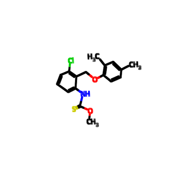 COC(=S)Nc1cccc(Cl)c1COc1ccc(C)cc1C